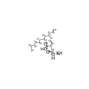 C=CCC(CC=CC(CC(=O)O)C(=O)O)CCCCCCCC.[KH]